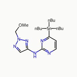 CCC[CH2][Sn]([CH2]CCC)([CH2]CCC)[c]1ccnc(Nc2cnn(COC)n2)n1